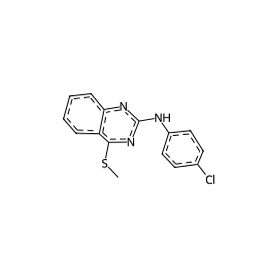 CSc1nc(Nc2ccc(Cl)cc2)nc2ccccc12